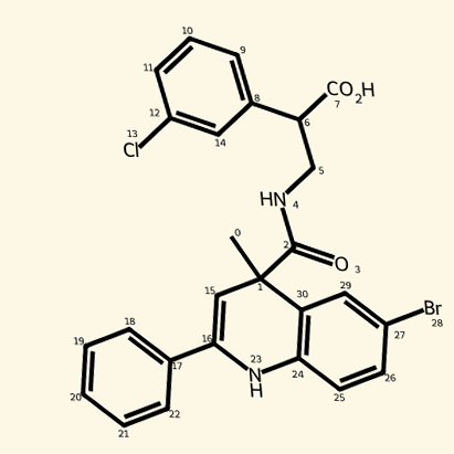 CC1(C(=O)NCC(C(=O)O)c2cccc(Cl)c2)C=C(c2ccccc2)Nc2ccc(Br)cc21